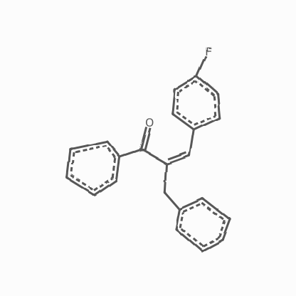 O=C(C(=Cc1ccc(F)cc1)Cc1ccccc1)c1ccccc1